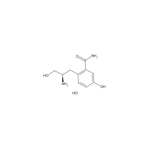 Cl.NC(=O)c1cc(O)ccc1C[C@@H](N)CO